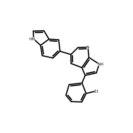 CCc1ccccc1-c1c[nH]c2ncc(-c3ccc4[nH]ccc4c3)cc12